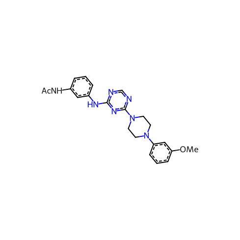 COc1cccc(N2CCN(c3ncnc(Nc4cccc(NC(C)=O)c4)n3)CC2)c1